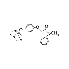 CN(C(=O)COc1ccc(OC23CC4CC(CC(C4)C2)C3)cc1)c1ccccc1